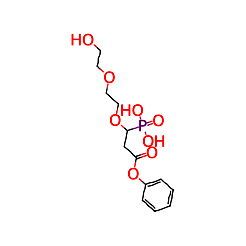 O=C(CC(OCCOCCO)P(=O)(O)O)Oc1ccccc1